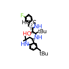 CC(C)(C)Cc1ccc2c(c1)[C@@H](NC([C@H](O)[C@H](Cc1cccc(F)c1)NC(=O)O)C(C)(C)C)CC(C)(C)N2